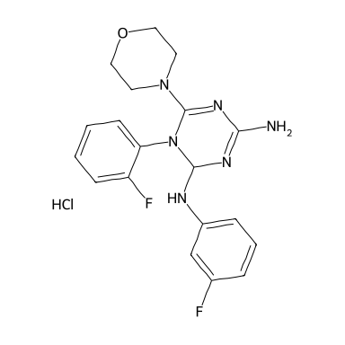 Cl.NC1=NC(Nc2cccc(F)c2)N(c2ccccc2F)C(N2CCOCC2)=N1